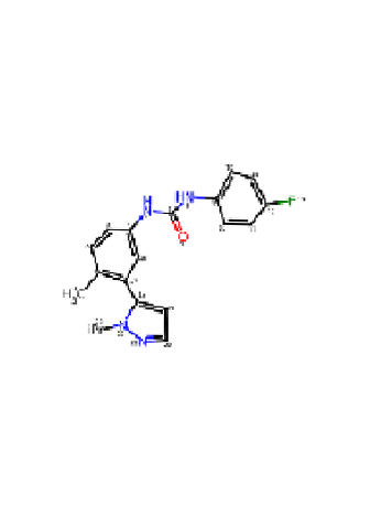 Cc1ccc(NC(=O)Nc2ccc(F)cc2)cc1-c1ccnn1C(C)C